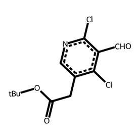 CC(C)(C)OC(=O)Cc1cnc(Cl)c(C=O)c1Cl